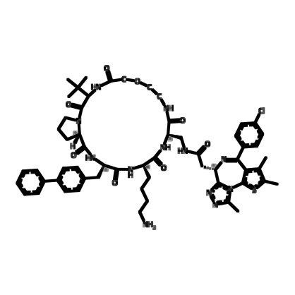 Cc1sc2c(c1C)C(c1ccc(Cl)cc1)=N[C@@H](CC(=O)NC[C@H]1NC(=O)[C@@H](CCCCN)NC(=O)[C@@H](Cc3ccc(-c4ccccc4)cc3)NC(=O)[C@@H]3CCCN3C(=O)C(C(C)(C)C)NC(=O)COCCNC1=O)c1nnc(C)n1-2